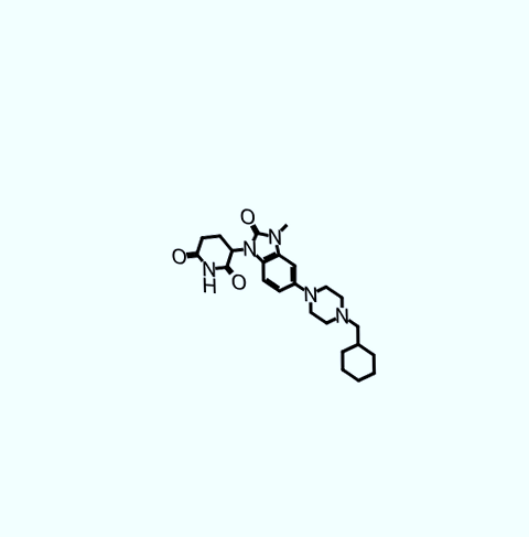 Cn1c(=O)n(C2CCC(=O)NC2=O)c2ccc(N3CCN(CC4CCCCC4)CC3)cc21